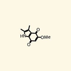 COC1=CC(=O)c2[nH]c(C)c(C)c2C1=O